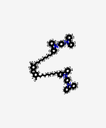 Cc1cc2c(cc1CCCCCCCCc1ccc3c(c1)c1ccccc1n3-c1ccc(-n3c4ccccc4c4ccccc43)cc1)-c1cc(CCCCCCCCc3ccc4c(c3)c3ccccc3n4-c3ccc(-n4c5ccccc5c5ccccc54)cc3)c(C)cc1C2